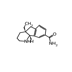 CC[C@]12CCCN[C@H]1c1cc(C(N)=O)ccc1C2